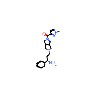 Cn1ccc(C(=O)N2CC3CN(CC[C@H](N)c4ccccc4)CC3C2)n1